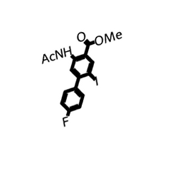 COC(=O)c1cc(I)c(-c2ccc(F)cc2)cc1NC(C)=O